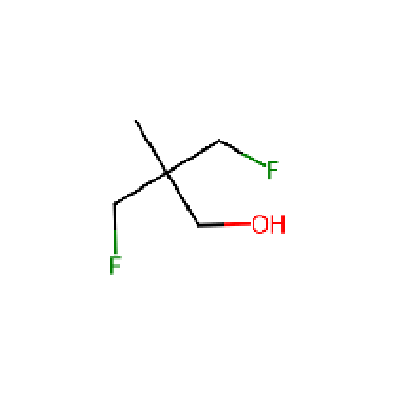 CC(CO)(CF)CF